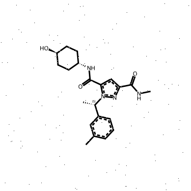 CNC(=O)c1cc(C(=O)N[C@H]2CC[C@H](O)CC2)n([C@@H](C)c2cccc(C)c2)n1